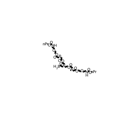 BC(=O)CN(CCOC(=O)CN(C)CC(=O)OCCOCCNC(=O)OCCC)CCOC(=O)CN(C)CC(=O)OCCOCCNC(=O)OCCC